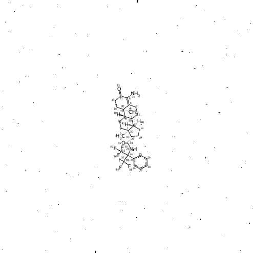 C[C@]12CC[C@H]3[C@@H](CCC4=C(N)C(=O)CC[C@@]43C)[C@@H]1CC[C@@H]2C(=O)NC(c1ccccc1)(C(F)(F)F)C(F)(F)F